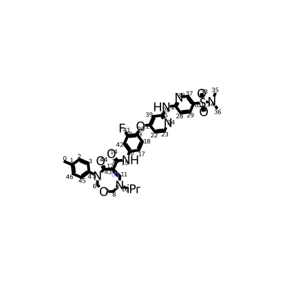 Cc1ccc(N2COCN(C(C)C)/C=C(/C(=O)Nc3ccc(Oc4ccnc(Nc5ccc(S(=O)(=O)N(C)C)cn5)c4)c(F)c3)C2=O)cc1